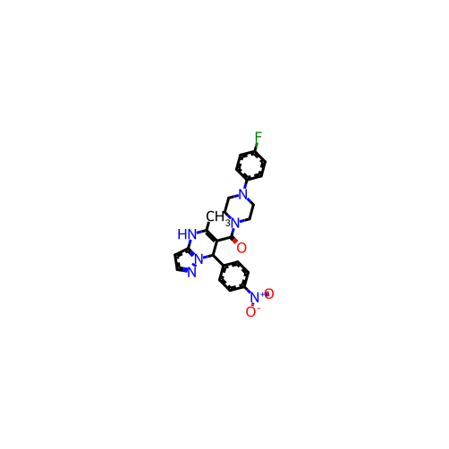 CC1=C(C(=O)N2CCN(c3ccc(F)cc3)CC2)C(c2ccc([N+](=O)[O-])cc2)n2nccc2N1